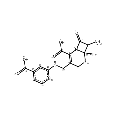 NC1C(=O)N2C(C(=O)O)=C(CSc3cc(C(=O)O)ccn3)CS[C@@H]12